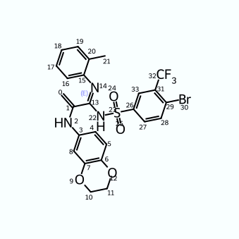 C=C(Nc1ccc2c(c1)OCCO2)/C(=N\c1ccccc1C)NS(=O)(=O)c1ccc(Br)c(C(F)(F)F)c1